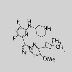 COc1cc2ncc(-c3nc(NC4CCCNC4)c(F)cc3F)n2nc1C1CC(C)(C)C1